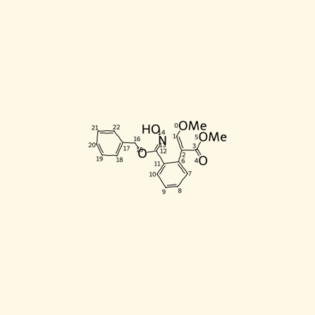 COC=C(C(=O)OC)c1ccccc1C(=NO)OCc1ccccc1